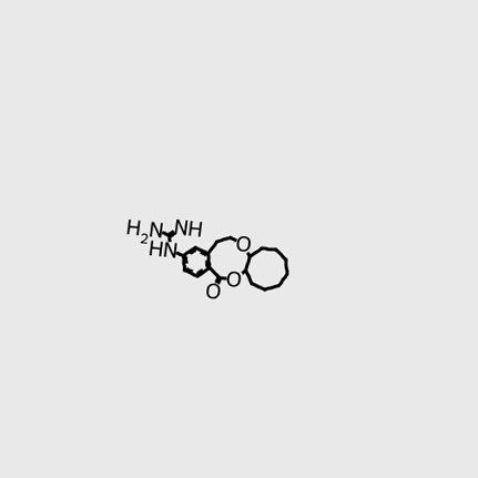 N=C(N)Nc1ccc2c(c1)CCOC1CCCCCCCC1OC2=O